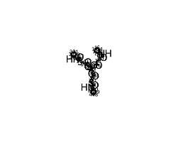 CCC(COC(=O)CCSC(=O)Nc1ccccc1)(COC(=O)CCSC(=O)Nc1ccccc1)COC(=O)CCSC(=O)Nc1ccccc1